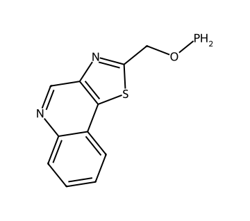 POCc1nc2cnc3ccccc3c2s1